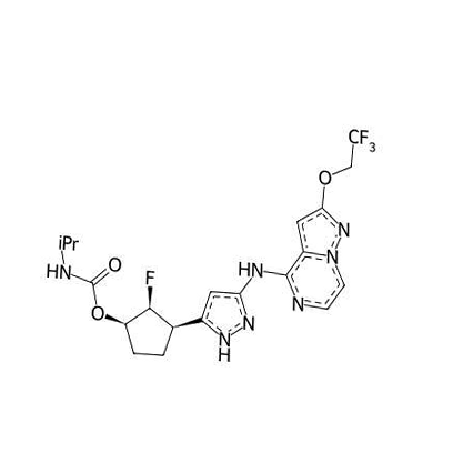 CC(C)NC(=O)O[C@@H]1CC[C@H](c2cc(Nc3nccn4nc(OCC(F)(F)F)cc34)n[nH]2)[C@@H]1F